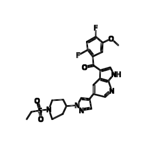 CCS(=O)(=O)N1CCC(n2cc(-c3cnc4[nH]cc(C(=O)c5cc(OC)c(F)cc5F)c4c3)cn2)CC1